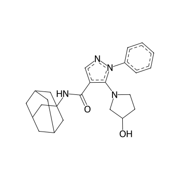 O=C(NC12CC3CC(CC(C3)C1)C2)c1cnn(-c2ccccc2)c1N1CCC(O)C1